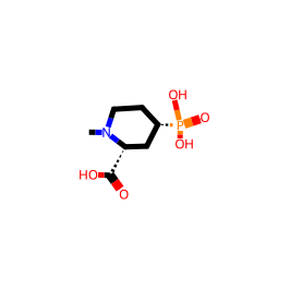 CN1CC[C@H](P(=O)(O)O)C[C@@H]1C(=O)O